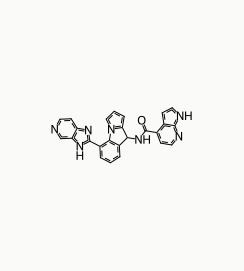 O=C(NC1c2cccc(-c3nc4ccncc4[nH]3)c2-n2cccc21)c1ccnc2[nH]ccc12